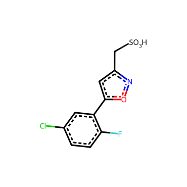 O=S(=O)(O)Cc1cc(-c2cc(Cl)ccc2F)on1